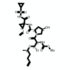 C=CCC[C@@H](C)O[C@@H](CC)[C@H](NC(=O)OC(C)(C)C)C(=O)N1C[C@H](O)C[C@H]1C(=O)N[C@]1(C(=O)NS(=O)(=O)C2CC2)C[C@H]1C=C